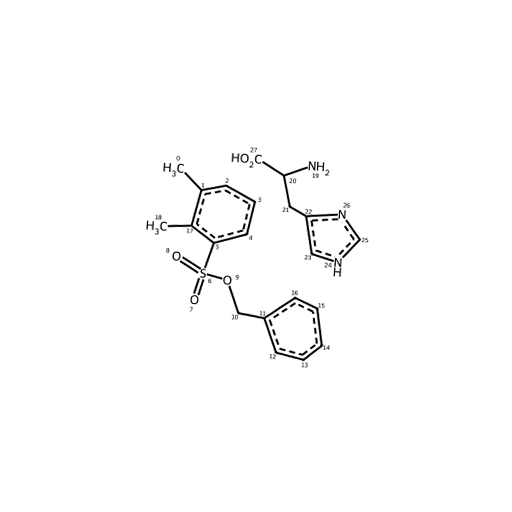 Cc1cccc(S(=O)(=O)OCc2ccccc2)c1C.NC(Cc1c[nH]cn1)C(=O)O